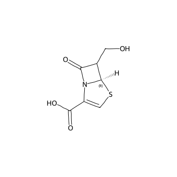 O=C(O)C1=CS[C@@H]2C(CO)C(=O)N12